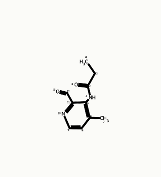 CCC(=O)Nc1c(C)ccnc1[C]=O